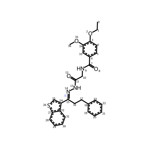 CCOc1ccc(C(=O)NCC(=O)N/N=C(\CCc2ccccc2)c2csc3ccccc23)cc1OC